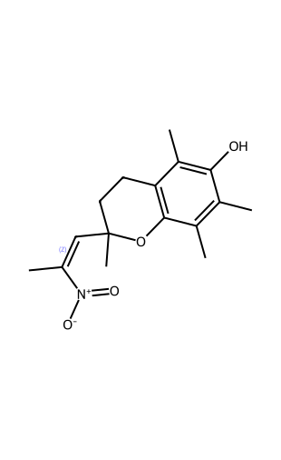 C/C(=C/C1(C)CCc2c(C)c(O)c(C)c(C)c2O1)[N+](=O)[O-]